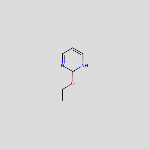 CCO[C]1N=CC=CN1